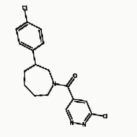 O=C(c1cnnc(Cl)c1)N1CCCCC(c2ccc(Cl)cc2)C1